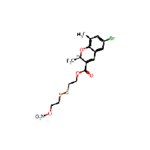 Cc1cc(Br)cc2c1O[C@H](C(F)(F)F)C(C(=O)OCCSSCCO[N+](=O)[O-])=C2